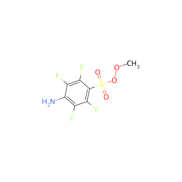 COOS(=O)(=O)c1c(F)c(F)c(N)c(F)c1F